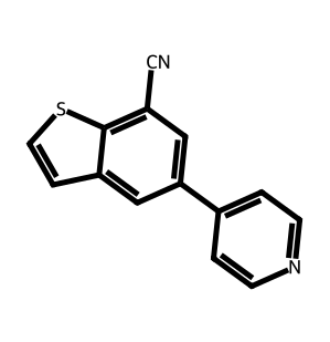 N#Cc1cc(-c2ccncc2)cc2ccsc12